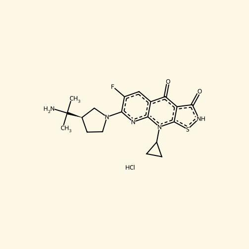 CC(C)(N)[C@@H]1CCN(c2nc3c(cc2F)c(=O)c2c(=O)[nH]sc2n3C2CC2)C1.Cl